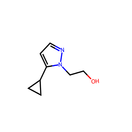 OCCn1nccc1C1CC1